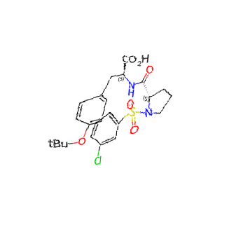 CC(C)(C)Oc1ccc(C[C@H](NC(=O)[C@@H]2CCCN2S(=O)(=O)c2cccc(Cl)c2)C(=O)O)cc1